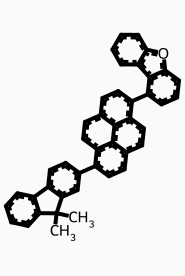 CC1(C)c2ccccc2-c2ccc(-c3ccc4ccc5c(-c6cccc7oc8ccccc8c67)ccc6ccc3c4c65)cc21